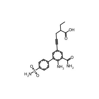 CCC(CC#Cc1cc(C(N)=O)c(N)c(-c2ccc(S(N)(=O)=O)cc2)c1)C(=O)O